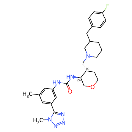 Cc1cc(NC(=O)N[C@@H]2COCC[C@H]2CN2CCCC(Cc3ccc(F)cc3)C2)cc(-c2nnnn2C)c1